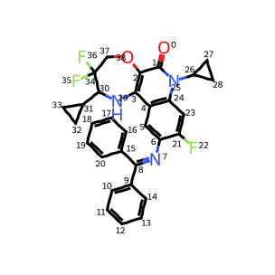 O=c1c2c(c3cc(N=C(c4ccccc4)c4ccccc4)c(F)cc3n1C1CC1)NC(C1CC1)C(F)(F)CO2